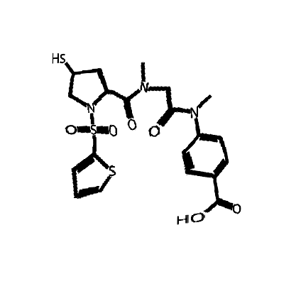 CN(CC(=O)N(C)c1ccc(C(=O)O)cc1)C(=O)C1CC(S)CN1S(=O)(=O)c1cccs1